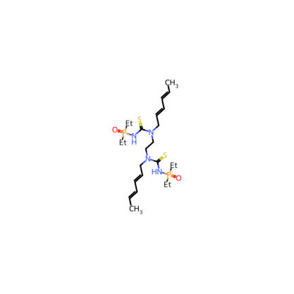 C/C=C/C=C/CN(CCN(C/C=C/C=C/C)C(=S)NP(=O)(CC)CC)C(=S)NP(=O)(CC)CC